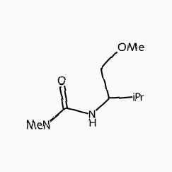 CNC(=O)NC(COC)C(C)C